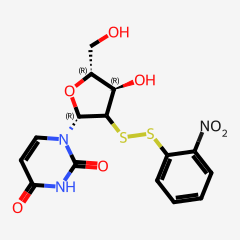 O=c1ccn([C@@H]2O[C@H](CO)[C@@H](O)C2SSc2ccccc2[N+](=O)[O-])c(=O)[nH]1